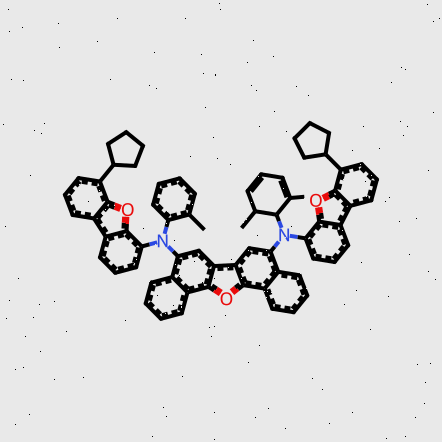 CC1=CC=CC(C)C1N(c1cc2c3cc(N(c4ccccc4C)c4cccc5c4oc4c(C6CCCC6)cccc45)c4ccccc4c3oc2c2ccccc12)c1cccc2c1oc1c(C3CCCC3)cccc12